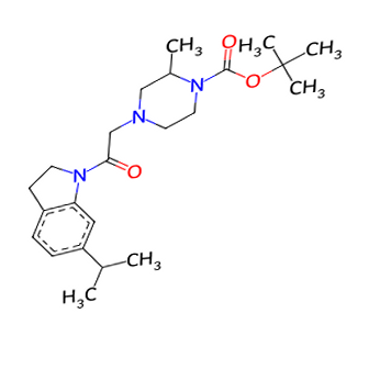 CC(C)c1ccc2c(c1)N(C(=O)CN1CCN(C(=O)OC(C)(C)C)C(C)C1)CC2